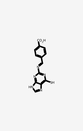 O=C(O)c1ccc(C=Nc2nc(S)c3nc[nH]c3n2)cc1